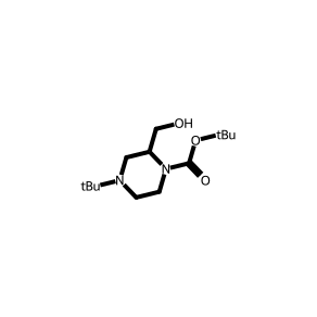 CC(C)(C)OC(=O)N1CCN(C(C)(C)C)CC1CO